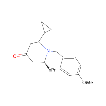 CCC[C@H]1CC(=O)CC(C2CC2)N1Cc1ccc(OC)cc1